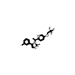 [CH]c1cccc(C2=CS[C@H](C)N2C(C)c2ccc(OCC(F)(F)F)cn2)c1